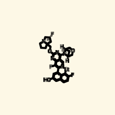 CCc1c(F)ccc2cc(O)cc(-c3ncc4c(N5[C@@H]6COC[C@H]5C6)nc(OCC56CCCN5C[C@H](F)C6)nc4c3F)c12